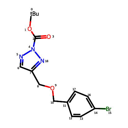 CC(C)(C)OC(=O)n1ncc(COCc2ccc(Br)cc2)n1